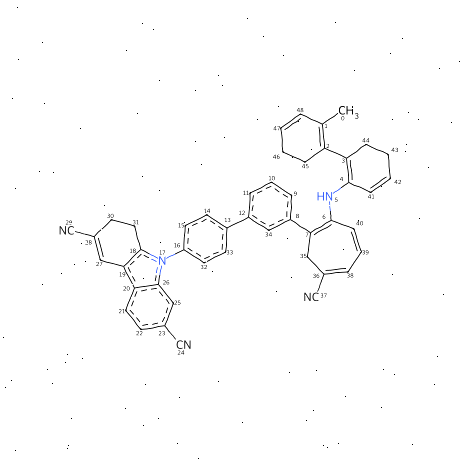 CC1=C(C2=C(NC3=C(c4cccc(-c5ccc(-n6c7c(c8ccc(C#N)cc86)C=C(C#N)CC7)cc5)c4)CC(C#N)=CC=C3)C=CCC2)CCC=C1